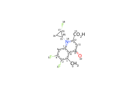 Cc1c(F)c(F)cc2c1c(=O)cc(C(=O)O)n2[C@@H]1C[C@@H]1F